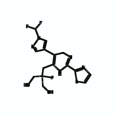 OCC(F)(CO)CC1=C(c2cnn(C(F)F)c2)CN=C(c2nccs2)N1